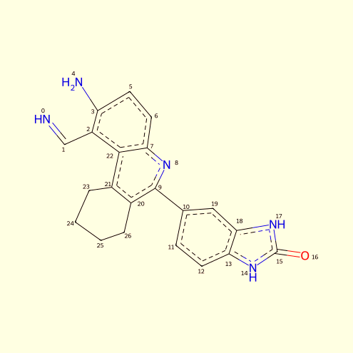 N=Cc1c(N)ccc2nc(-c3ccc4[nH]c(=O)[nH]c4c3)c3c(c12)CCCC3